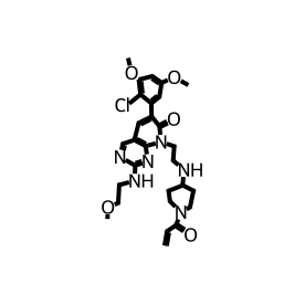 C=CC(=O)N1CCC(NCCn2c(=O)c(-c3cc(OC)cc(OC)c3Cl)cc3cnc(NCCOC)nc32)CC1